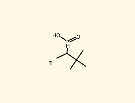 CC([PH](=O)O)C(C)(C)C.[Ti]